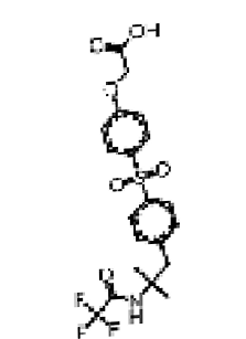 CC(C)(Cc1ccc(S(=O)(=O)c2ccc(OCC(=O)O)cc2)cc1)NC(=O)C(F)(F)F